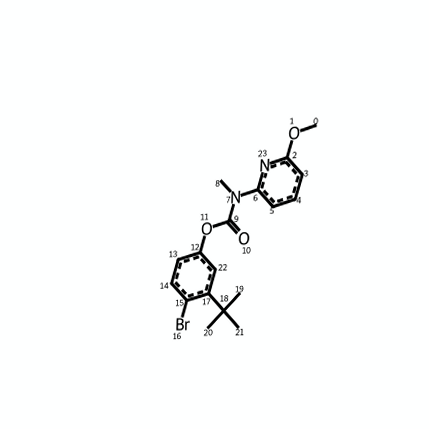 COc1cccc(N(C)C(=O)Oc2ccc(Br)c(C(C)(C)C)c2)n1